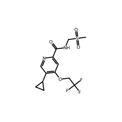 CS(=O)(=O)CNC(=O)c1cc(OCC(F)(F)F)c(C2CC2)cn1